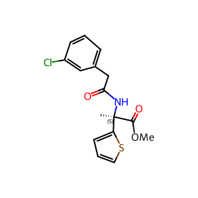 COC(=O)[C@](C)(NC(=O)Cc1cccc(Cl)c1)c1cccs1